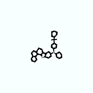 CC(C)(c1ccccc1)c1ccc(N(c2ccccc2)c2ccc3[se]c4c(ccc5ccc6ccccc6c54)c3c2)cc1